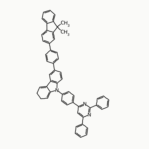 CC1(C)c2ccccc2-c2ccc(-c3ccc(-c4ccc5c(c4)c4c(n5-c5ccc(-c6cc(-c7ccccc7)nc(-c7ccccc7)n6)cc5)=CCCC=4)cc3)cc21